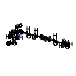 CN(C/C=C/C(=O)Nc1cc(Nc2cc(Nc3ccc(Oc4ccccc4)cc3)ncn2)cc(C(=O)N2CCOCC2)c1)CCCCNC(=O)CCCC(=O)NCCCOCCOCCOCCCNC(=O)CCCC[C@@H]1SC[C@@H]2NC(=O)N[C@@H]21